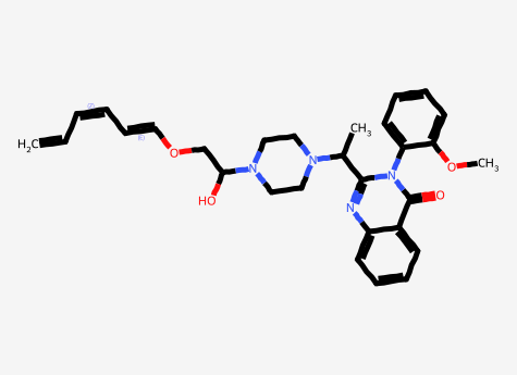 C=C/C=C\C=C\OCC(O)N1CCN(C(C)c2nc3ccccc3c(=O)n2-c2ccccc2OC)CC1